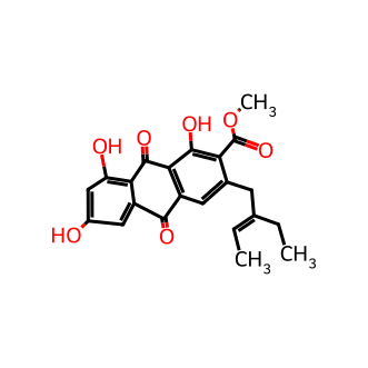 CC=C(CC)Cc1cc2c(c(O)c1C(=O)OC)C(=O)c1c(O)cc(O)cc1C2=O